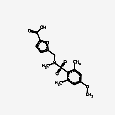 COc1cc(C)c(S(=O)(=O)N(C)Cc2ccc(C(=O)O)o2)c(C)c1